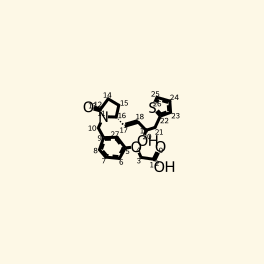 O=C(O)COc1cccc(CN2C(=O)CC[C@@H]2/C=C/C(O)Cc2cccs2)c1